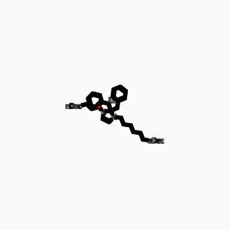 CCCCCCCCCCCCCCCCN1C=CN(CCCCCCCCCCCCC)C1(Cc1ccccc1)C(CC)c1ccccc1